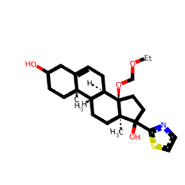 CCOCO[C@@]12CCC(O)(c3nccs3)[C@@]1(C)CC[C@@H]1[C@H]2CC=C2CC(O)CC[C@@]21C